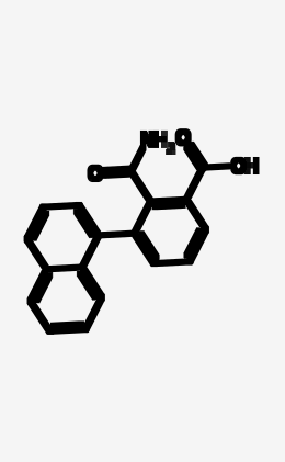 NC(=O)c1c(C(=O)O)cccc1-c1cccc2ccccc12